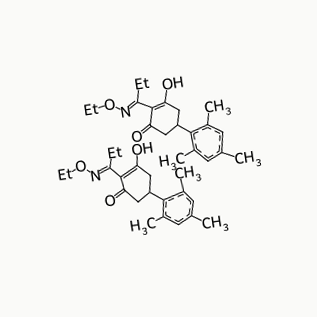 CCON=C(CC)C1=C(O)CC(c2c(C)cc(C)cc2C)CC1=O.CCON=C(CC)C1=C(O)CC(c2c(C)cc(C)cc2C)CC1=O